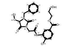 CCCCCCCCCCCCOC(=O)c1ccc(Cl)c(NC(=O)CN2C(=O)C(OCC)N(Cc3ccccc3)C2=O)c1